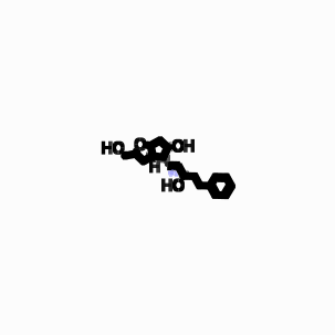 OCC1C[C@H]2C(C[C@@H](O)[C@@H]2/C=C/[C@@H](O)CCc2ccccc2)O1